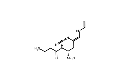 C=CN/C=C(/C[C@H](NC(=O)CCN)C(=O)O)N=[N+]=[N-]